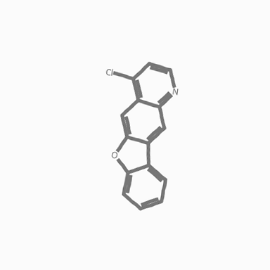 Clc1ccnc2cc3c(cc12)oc1ccccc13